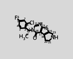 C[C@H](c1ccc(F)cc1Cl)n1cnc2sc3c(c2c1=O)CCNC3